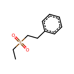 CCS(=O)(=O)CCc1ccccc1